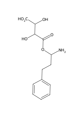 NC(CCc1ccccc1)OC(=O)C(O)C(O)C(=O)O